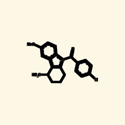 COc1ccc2c(c1)c1c(n2C(=O)c2ccc(Cl)cc2)CCCC1C(=O)O